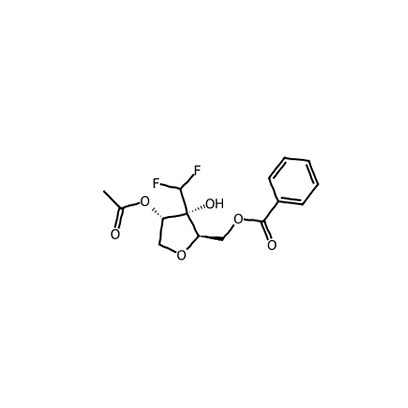 CC(=O)O[C@H]1CO[C@H](COC(=O)c2ccccc2)[C@]1(O)C(F)F